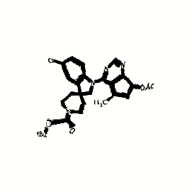 CC(=O)OC1C[C@@H](C)c2c1ncnc2N1CC2(CCN(C(=O)OC(C)(C)C)CC2)c2cc(Cl)ccc21